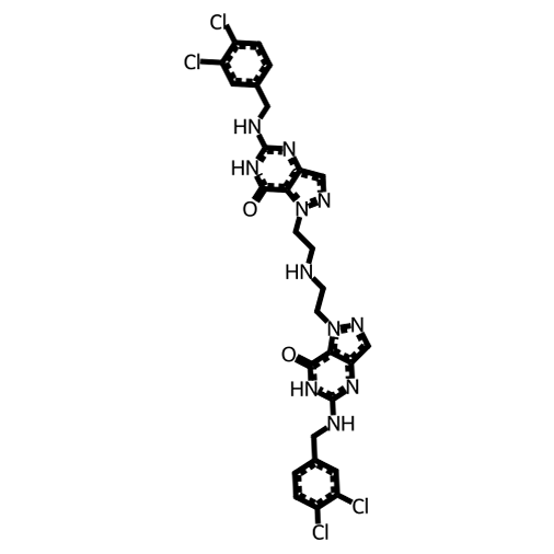 O=c1[nH]c(NCc2ccc(Cl)c(Cl)c2)nc2cnn(CCNCCn3ncc4nc(NCc5ccc(Cl)c(Cl)c5)[nH]c(=O)c43)c12